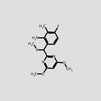 COc1cc(OC)nc(C(SC)c2ccc(F)c(C)c2N)n1